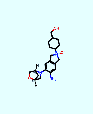 Nc1cc2c(cc1N1C[C@H]3C[C@@H]1CO3)C[N+]([O-])(C1CCC(CO)CC1)C2